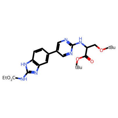 CCOC(=O)Nc1nc2cc(-c3cnc(NC(COC(C)(C)C)C(=O)OC(C)(C)C)nc3)ccc2[nH]1